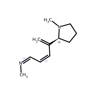 C=C(/C=C\C=N/C)[C@@H]1CCCN1C